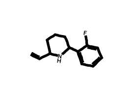 C=CC1CCCC(c2ccccc2F)N1